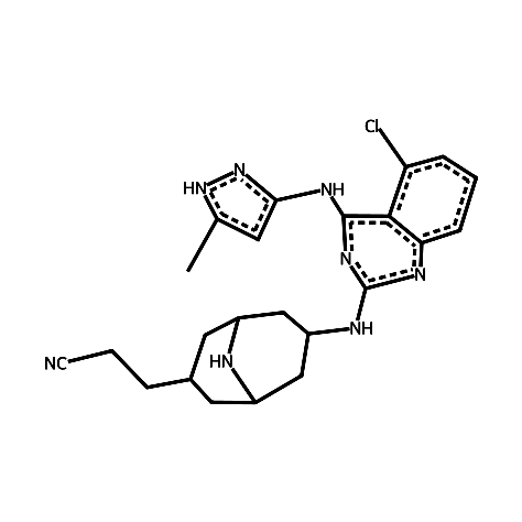 Cc1cc(Nc2nc(NC3CC4CC(CCC#N)CC(C3)N4)nc3cccc(Cl)c23)n[nH]1